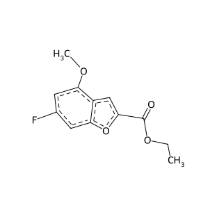 CCOC(=O)c1cc2c(OC)cc(F)cc2o1